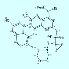 [2H]C([2H])(Oc1nc(C(CC)CCCCC)c2c(n1)=CN(c1cc(O)cc3ccc(F)c(F)c13)C(C(F)(F)F)C=2)C1(CN2CCOCC2)CC1